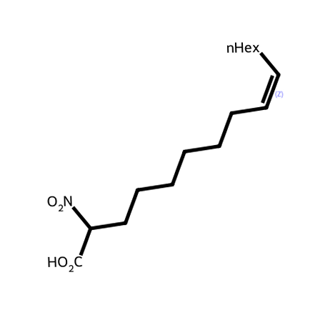 CCCCCC/C=C\CCCCCCC(C(=O)O)[N+](=O)[O-]